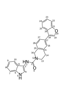 O=C(Nc1c[nH]c2ccccc12)N1CCc2cc(-c3coc4ccccc34)ccc2C1